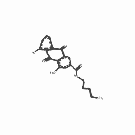 NCCCCNC(=O)c1cc(O)c2c(c1)C(=O)c1cccc(O)c1C2=O